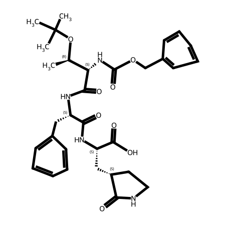 C[C@@H](OC(C)(C)C)[C@H](NC(=O)OCc1ccccc1)C(=O)N[C@@H](Cc1ccccc1)C(=O)N[C@@H](C[C@@H]1CCNC1=O)C(=O)O